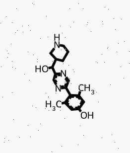 Cc1cc(O)cc(C)c1-c1cnc(C(O)C2CCCNC2)cn1